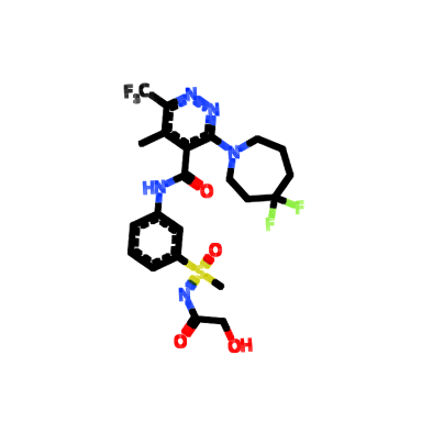 Cc1c(C(F)(F)F)nnc(N2CCCC(F)(F)CC2)c1C(=O)Nc1cccc(S(C)(=O)=NC(=O)CO)c1